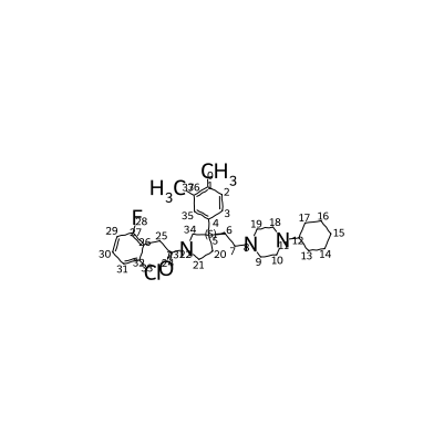 Cc1ccc([C@]2(CCN3CCN(C4CCCCC4)CC3)CCN(C(=O)Cc3c(F)cccc3Cl)C2)cc1C